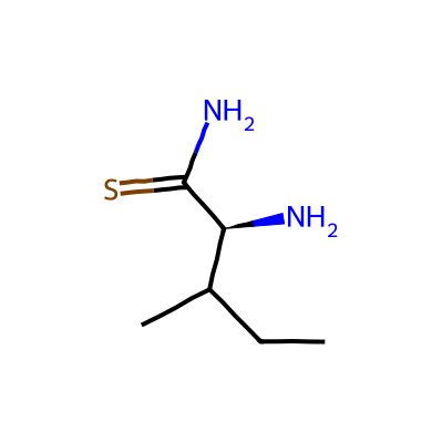 CCC(C)[C@H](N)C(N)=S